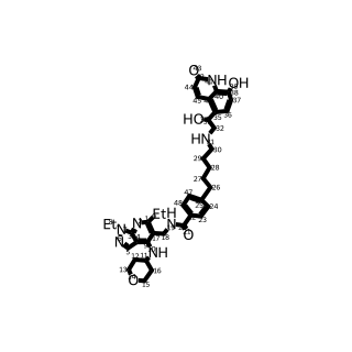 CCc1nc2c(cnn2CC)c(NC2CCOCC2)c1CNC(=O)c1ccc(CCCCCNCC(O)c2ccc(O)c3[nH]c(=O)ccc23)cc1